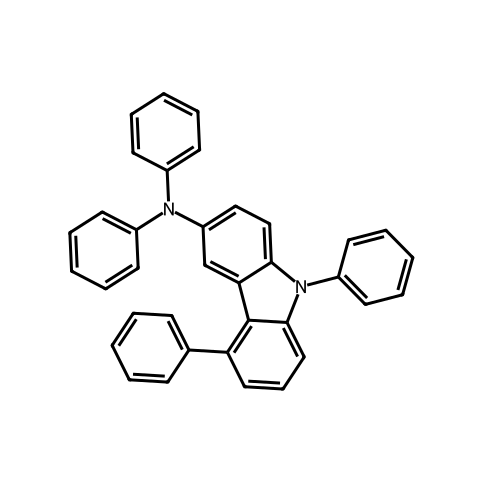 c1ccc(-c2cccc3c2c2cc(N(c4ccccc4)c4ccccc4)ccc2n3-c2ccccc2)cc1